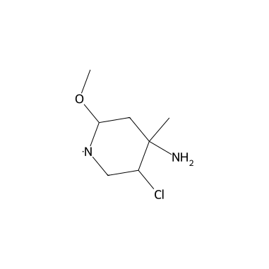 COC1CC(C)(N)C(Cl)C[N]1